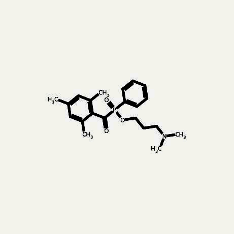 Cc1cc(C)c(C(=O)P(=O)(OCCCN(C)C)c2ccccc2)c(C)c1